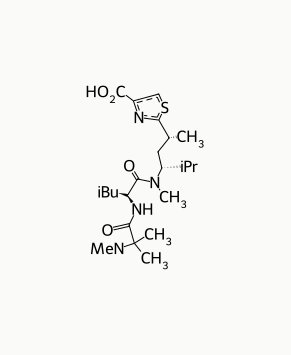 CC[C@H](C)[C@H](NC(=O)C(C)(C)NC)C(=O)N(C)[C@H](C[C@@H](C)c1nc(C(=O)O)cs1)C(C)C